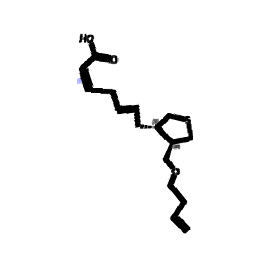 C=CCCOC[C@@H]1CSC[C@H]1CC=CC/C=C\C(=O)O